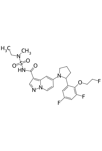 CCN(C)S(=O)(=O)NC(=O)c1cnn2ccc(N3CCCC3c3cc(F)cc(F)c3OCCF)cc12